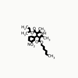 C=CC(C)OC(=O)C1=C(C)NC(C)=C(C(=O)OCC=CC=CC)C1c1cccc([N+](=O)[O-])c1